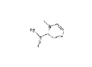 CN1C=CC=CC1C(=S)S